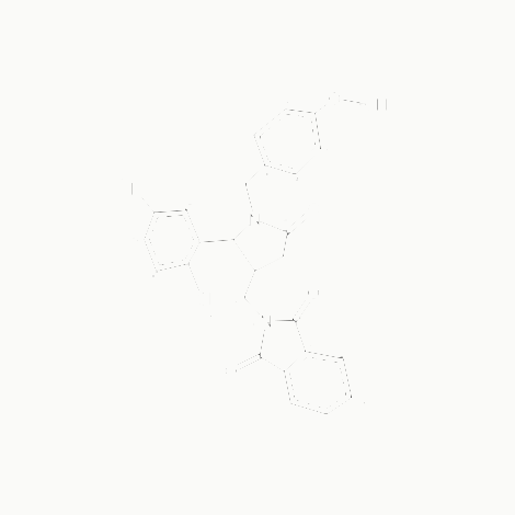 COc1ccc(CN2C(=O)CC(CN3C(=O)c4ccccc4C3=O)C2c2cc(F)ccc2Cl)cc1